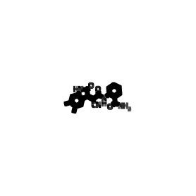 Cc1cc2c(cc1C)/C(=C(\C#N)C(=O)Nc1ccccc1C(N)=O)C(=O)N2